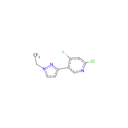 Fc1cc(Cl)ncc1-c1ccn(CC(F)(F)F)n1